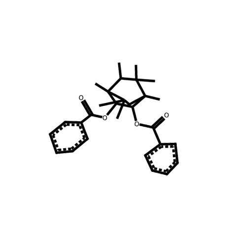 CC1C(C)(C)C2(C)CC(C)(C)C1(C)C(OC(=O)c1ccccc1)C2OC(=O)c1ccccc1